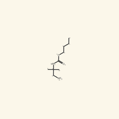 CCCCOC(=O)NC(C)(C)CN